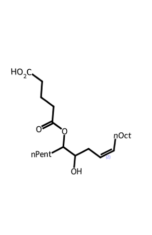 CCCCCCCC/C=C\CC(O)C(CCCCC)OC(=O)CCCC(=O)O